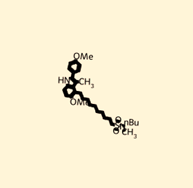 CCCCN(C)S(=O)(=O)CCCCCCCCCCc1c(OC)ccc2[nH]c(-c3ccc(OC)cc3)c(C)c12